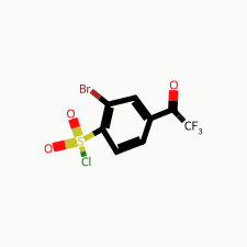 O=C(c1ccc(S(=O)(=O)Cl)c(Br)c1)C(F)(F)F